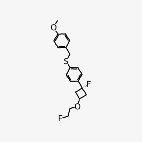 COc1ccc(CSc2ccc([C@]3(F)C[C@H](OCCF)C3)cc2)cc1